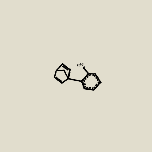 CCCc1ccccc1C12C=CC(C=C1)C2